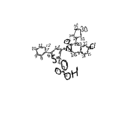 O=C(O)Oc1sc(-c2ccccc2)cc1N(Cc1ccc(Cl)cc1)C(=O)CC1CCCC1